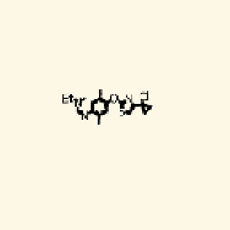 CCN(C)/C=N\c1cc(C)c(Oc2nc(C3(Cl)CC3)cs2)cc1C